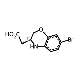 O=C(O)C[C@H]1COc2cc(Br)ccc2N1